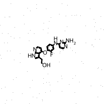 Nc1nccc(Nc2ccc(Oc3ccnc4[nH]cc(CCO)c34)c(F)c2)n1